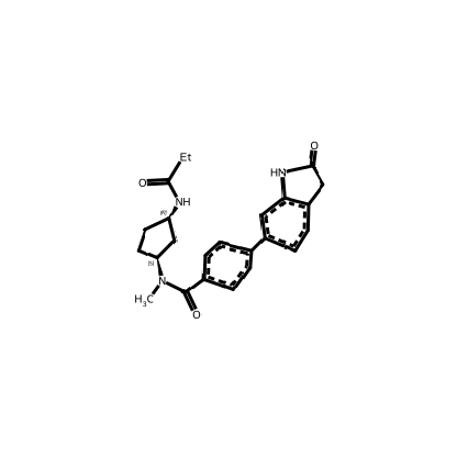 CCC(=O)N[C@@H]1CC[C@H](N(C)C(=O)c2ccc(-c3ccc4c(c3)NC(=O)C4)cc2)C1